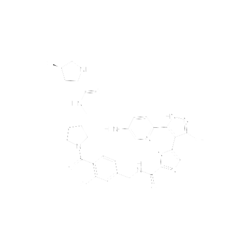 Nc1ccc(-c2[nH]nc(C(F)(F)F)c2-c2cnc(C(=O)NCc3ccc(C(=O)N4CC[C@H](CNC(=O)[C@@H]5C[C@@H](O)CN5)C4)c(Cl)c3)[nH]2)nc1